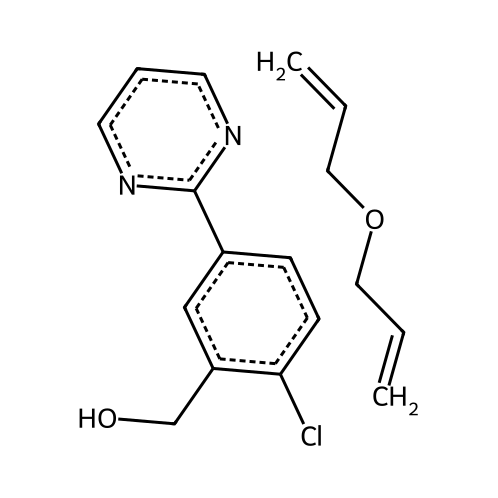 C=CCOCC=C.OCc1cc(-c2ncccn2)ccc1Cl